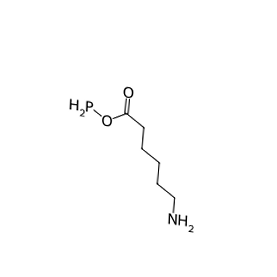 NCCCCCC(=O)OP